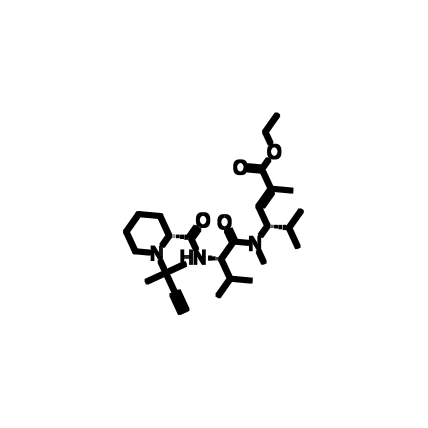 C#CC(C)(C)N1CCCC[C@@H]1C(=O)N[C@H](C(=O)N(C)[C@H](/C=C(\C)C(=O)OCC)C(C)C)C(C)C